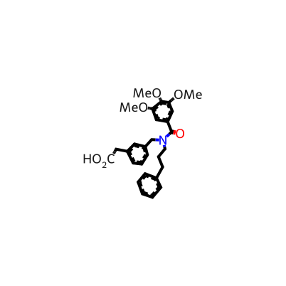 COc1cc(C(=O)N(CCCc2ccccc2)Cc2cccc(CC(=O)O)c2)cc(OC)c1OC